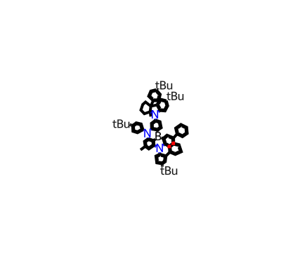 Cc1cc2c3c(c1)N(c1ccc(C(C)(C)C)cc1-c1ccccc1)c1ccc(-c4ccccc4)cc1B3c1ccc(N3c4ccc(C(C)(C)C)cc4C4(c5ccc(C(C)(C)C)cc5)CCCCC34C)cc1N2c1ccc(C(C)(C)C)cc1